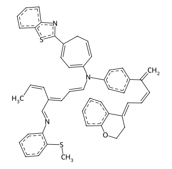 C=C(/C=C\C=C1/CCOc2ccccc21)c1ccc(N(/C=C/C=C(\C=C/C)/C=N/c2ccccc2SC)C2=CC=C(c3nc4ccccc4s3)CC=C2)cc1